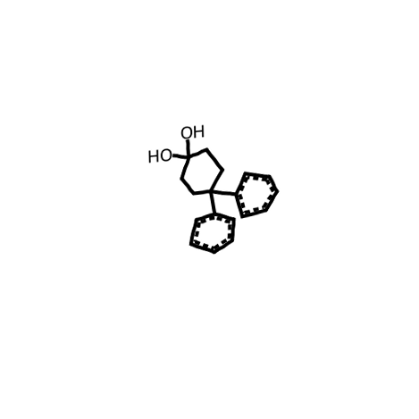 OC1(O)CCC(c2ccccc2)(c2ccccc2)CC1